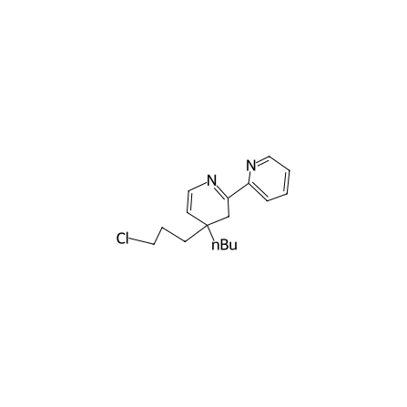 CCCCC1(CCCCl)C=CN=C(c2ccccn2)C1